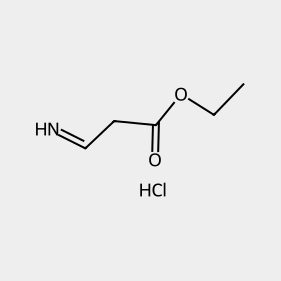 CCOC(=O)CC=N.Cl